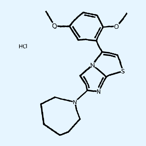 COc1ccc(OC)c(-c2csc3nc(N4CCCCCC4)cn23)c1.Cl